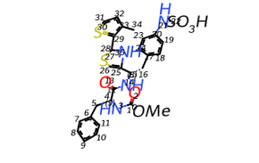 COC(=O)N[C@@H](Cc1ccccc1)C(=O)N[C@@H](Cc1ccc(NS(=O)(=O)O)cc1)C1=CSC(c2sccc2C)N1